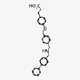 O=C(O)CCc1ccc(OCc2ccc(CNCc3ccc(-c4ccccc4)cc3)cc2)cc1